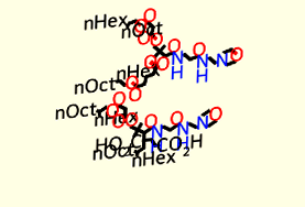 CCCCCCCCC(CCCCCC)COC(=O)CC(=O)OCC(C)(C)C(C(=O)NCCC(=O)NCCN1CCOCC1)C(CCC(=O)O)(CC(CCCCCC)CCCCCCCC)C(=O)O.CCCCCCCCC(CCCCCC)COC(=O)CCCC(=O)OC(C(=O)NCCC(=O)NCCN1CCOCC1)C(C)(C)COC(=O)CC(=O)OCC(CCCCCC)CCCCCCCC